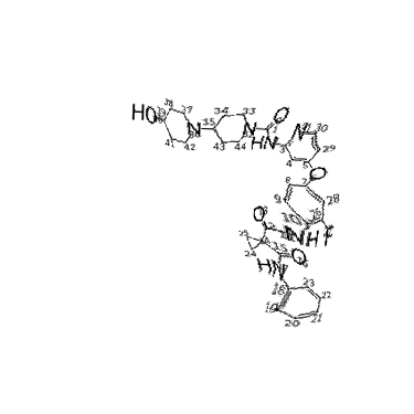 O=C(Nc1cc(Oc2ccc(NC(=O)C3(C(=O)Nc4ccccc4)CC3)c(F)c2)ccn1)N1CCC(N2CCC(O)CC2)CC1